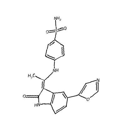 CC(Nc1ccc(S(N)(=O)=O)cc1)=C1C(=O)Nc2ccc(-c3cnco3)cc21